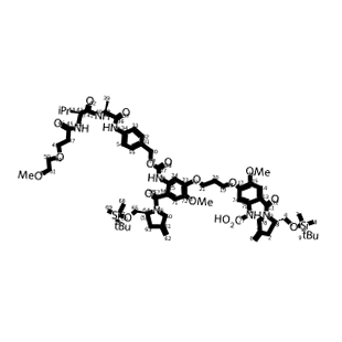 C=C1C[C@@H](CO[Si](C)(C)C(C)(C)C)N(C(=O)c2cc(OC)c(OCCCOc3cc(NC(=O)OCc4ccc(NC(=O)[C@H](C)NC(=O)[C@@H](NC(=O)CCOCCOC)C(C)C)cc4)c(C(=O)N4CC(=C)C[C@H]4CO[Si](C)(C)C(C)(C)C)cc3OC)cc2NC(=O)O)C1